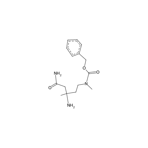 CN(CCC(C)(N)CC(N)=O)C(=O)OCc1ccccc1